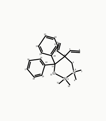 C=CC1(C=C)C[Si](C)(C)[Si](C)(C)OC1(c1ccccc1)c1ccccc1